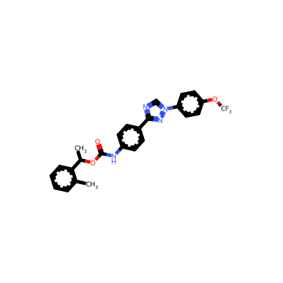 Cc1ccccc1C(C)OC(=O)Nc1ccc(-c2ncn(-c3ccc(OC(F)(F)F)cc3)n2)cc1